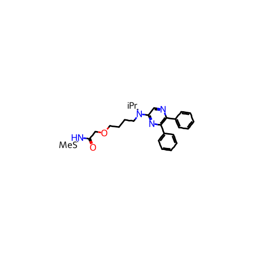 CSNC(=O)COCCCCN(c1cnc(-c2ccccc2)c(-c2ccccc2)n1)C(C)C